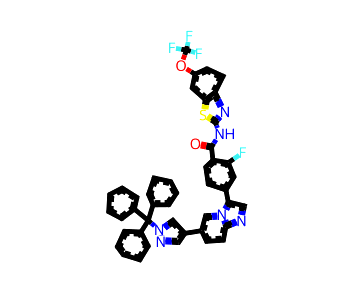 O=C(Nc1nc2ccc(OC(F)(F)F)cc2s1)c1ccc(-c2cnc3ccc(-c4cnn(C(c5ccccc5)(c5ccccc5)c5ccccc5)c4)cn23)cc1F